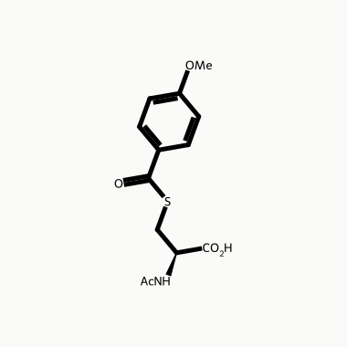 COc1ccc(C(=O)SC[C@H](NC(C)=O)C(=O)O)cc1